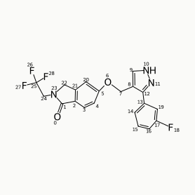 O=C1c2ccc(OCc3c[nH]nc3-c3cccc(F)c3)cc2CN1CC(F)(F)F